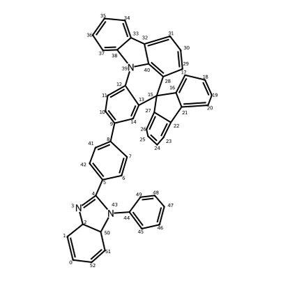 C1=CC2N=C(c3ccc(-c4ccc5c(c4)C4(c6ccccc6-c6ccccc64)c4cccc6c7ccccc7n-5c46)cc3)N(c3ccccc3)C2C=C1